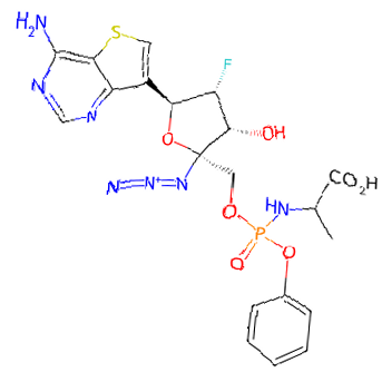 CC(NP(=O)(OC[C@]1(N=[N+]=[N-])O[C@@H](c2csc3c(N)ncnc23)[C@H](F)[C@@H]1O)Oc1ccccc1)C(=O)O